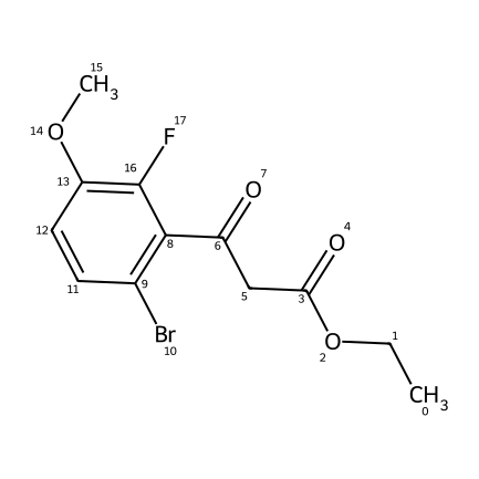 CCOC(=O)CC(=O)c1c(Br)ccc(OC)c1F